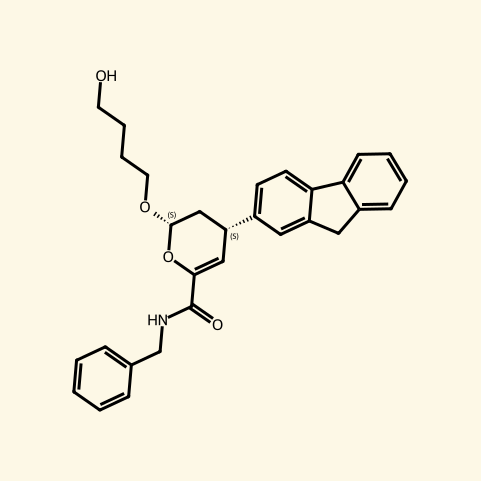 O=C(NCc1ccccc1)C1=C[C@@H](c2ccc3c(c2)Cc2ccccc2-3)C[C@@H](OCCCCO)O1